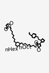 C=Cc1ccc(CCC2C=CC=C2C2=CC(=O)N(CCCCCCCCC3CC(CCCCCCCCN4C(=O)C=CC4=O)CC(CCCCCC)C3CCCCCCCC)C2=O)cc1